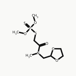 COP(=S)(OC)SCC(=O)N(C)CC1OCCO1